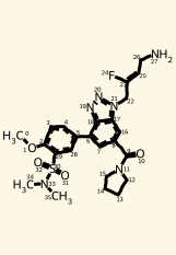 COc1ccc(-c2cc(C(=O)N3CCCC3)cc3c2nnn3C/C(F)=C/CN)cc1S(=O)(=O)N(C)C